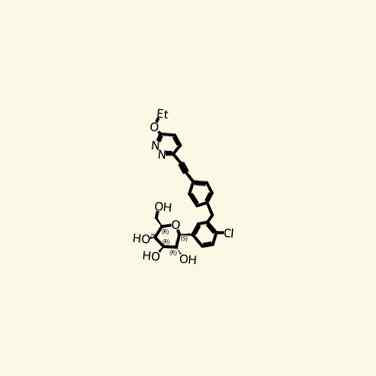 CCOc1ccc(C#Cc2ccc(Cc3cc([C@@H]4O[C@H](CO)[C@@H](O)[C@H](O)[C@H]4O)ccc3Cl)cc2)nn1